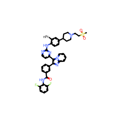 CCCc1cc(C2CCN(CCS(C)(=O)=O)CC2)ccc1Nc1nccc(-c2c(-c3cccc(C(=O)Nc4c(F)cccc4F)c3)nc3ccccn23)n1